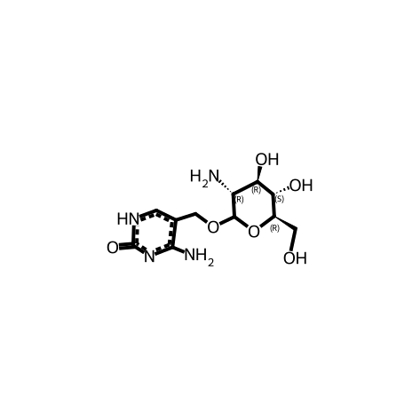 Nc1nc(=O)[nH]cc1COC1O[C@H](CO)[C@@H](O)[C@H](O)[C@H]1N